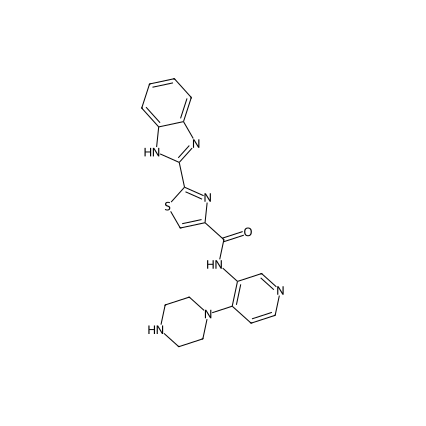 O=C(Nc1cnccc1N1CCNCC1)c1csc(-c2nc3ccccc3[nH]2)n1